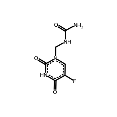 NC(=O)NCn1cc(F)c(=O)[nH]c1=O